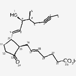 CC#CCC(C)[C@H](O)C=C[C@H]1CCC(=O)[C@@H]1CC=CCCCC(=O)O